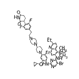 CCc1ccc2c(P(C)(C)=O)c(Nc3nc(Nc4cc(CC)c(N5CCC(N6CCN(CCc7cc(F)c(C8CCC(=O)NC8=O)c(F)c7)CC6)CC5)cc4OC4CC4)ncc3Br)ccc2n1